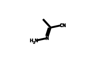 CC(C#N)=NN